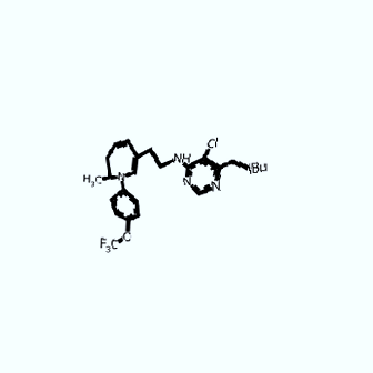 CCC(C)Cc1ncnc(NCCC2=CN(c3ccc(OC(F)(F)F)cc3)C(C)CC=C2)c1Cl